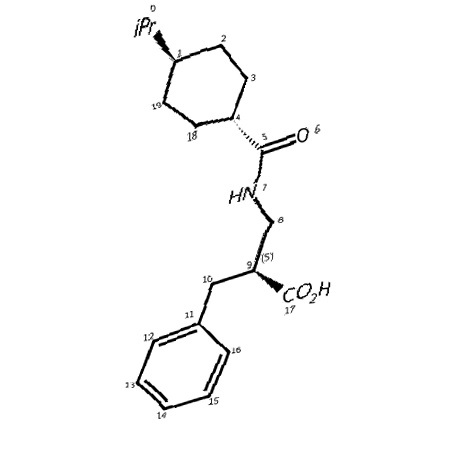 CC(C)[C@H]1CC[C@H](C(=O)NC[C@H](Cc2ccccc2)C(=O)O)CC1